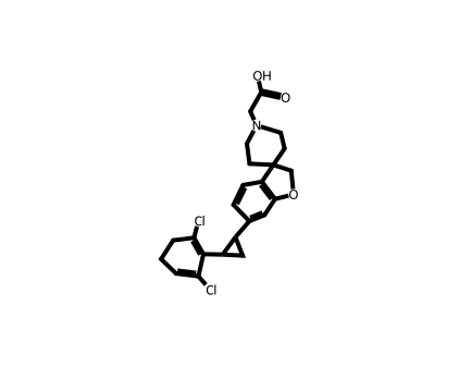 O=C(O)CN1CCC2(CC1)COc1cc(C3CC3C3=C(Cl)CCC=C3Cl)ccc12